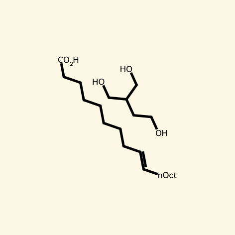 CCCCCCCCC=CCCCCCCCC(=O)O.OCCC(CO)CO